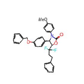 COc1ccc(N2C(=O)OC(C(F)(F)CCc3ccccc3)C2c2ccc(OCc3ccccc3)cc2)cc1